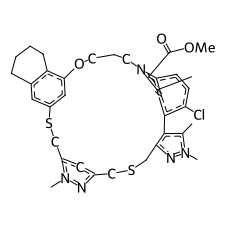 COC(=O)c1c(C)c2c3c(Cl)ccc2n1CCCOc1cc(cc2c1CCCC2)SCc1cc(nn1C)CSCc1nn(C)c(C)c1-3